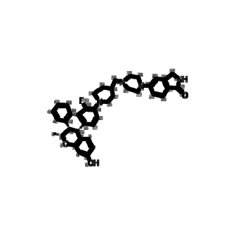 C[C@H]1Oc2cc(O)ccc2[C@@H](c2ccc(N3CCC(CN4CCN(c5ccc6c(c5)CNC6=O)CC4)CC3)c(F)c2)[C@H]1c1ccccc1